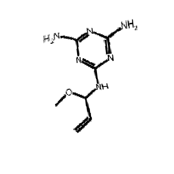 C=CC(Nc1nc(N)nc(N)n1)OC